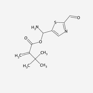 C=C(C(=O)OC(N)c1cnc(C=O)s1)C(C)(C)C